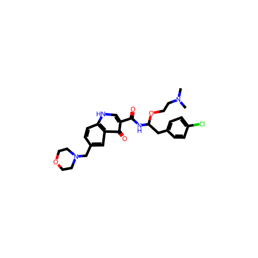 CN(C)CCOC(Cc1ccc(Cl)cc1)NC(=O)c1c[nH]c2ccc(CN3CCOCC3)cc2c1=O